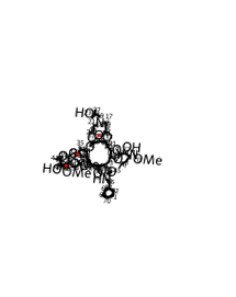 CON=C1C[C@@H](C)O[C@@H](O[C@@H]2[C@@H](C)[C@H](O[C@H]3C[C@@H](C)N(CC(C)(C)O)C[C@H](C)O3)[C@@H](C)C(=O)O[C@H]([C@@H](C)CO[C@@H]3O[C@H](C)[C@@H](O)[C@@H](OC)[C@H]3OC)[C@H](C)[C@@H](OC(=O)CC(C)C)[C@@H](C)C(=O)[C@@](C)(OC(=O)NCc3ccccc3)C[C@@H]2C)[C@@H]1O